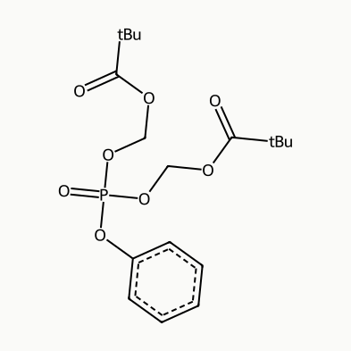 CC(C)(C)C(=O)OCOP(=O)(OCOC(=O)C(C)(C)C)Oc1ccccc1